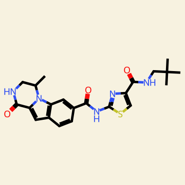 CC1CNC(=O)c2cc3ccc(C(=O)Nc4nc(C(=O)NCC(C)(C)C)cs4)cc3n21